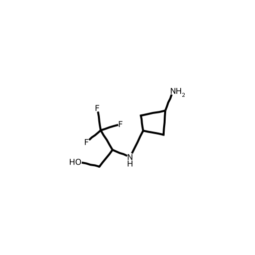 NC1CC(NC(CO)C(F)(F)F)C1